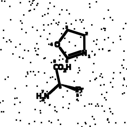 C1=NCCO1.CC(C)[C@H](N)C(=O)O